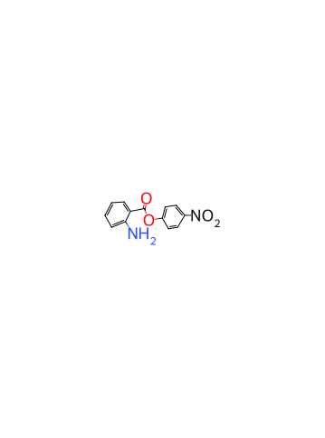 Nc1ccccc1C(=O)Oc1ccc([N+](=O)[O-])cc1